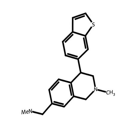 CNCc1ccc2c(c1)CN(C)CC2c1ccc2ccsc2c1